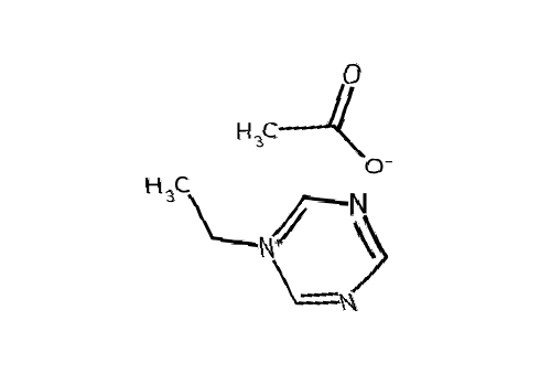 CC(=O)[O-].CC[n+]1cncnc1